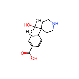 CC(C)(O)C1(c2ccc(C(=O)O)cc2)CCNCC1